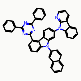 c1ccc(-c2nc(-c3ccccc3)nc(-c3cccc4c3c3ccc(-n5c6ccccc6c6cccnc65)cc3n4-c3ccc4ccccc4c3)n2)cc1